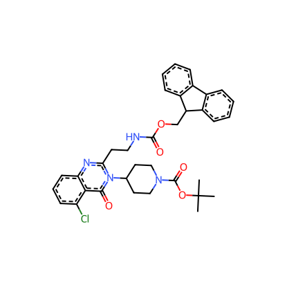 CC(C)(C)OC(=O)N1CCC(n2c(CCNC(=O)OCC3c4ccccc4-c4ccccc43)nc3cccc(Cl)c3c2=O)CC1